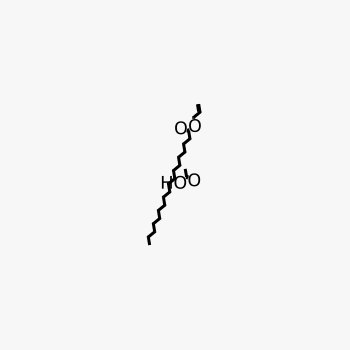 C=CCOC(=O)CCCCCCCCCCCCCCCCC.CC(=O)O